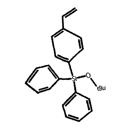 C=Cc1ccc([Si](OC(C)(C)C)(c2ccccc2)c2ccccc2)cc1